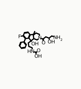 CCc1ccc(F)c(-c2ccccc2)c1C(O)(CCCNC(=O)O)C1CCCN(C(=O)CC(O)CN)C1